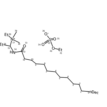 CCCCCCCCCCCCCCCCCCCCCC(=O)NC(CC)[N+](C)(C)CC.CCOS(=O)(=O)[O-]